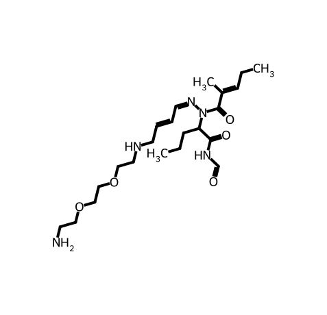 CC/C=C(\C)C(=O)N(/N=C\C=C\CNCCOCCOCCN)C(CCC)C(=O)NC=O